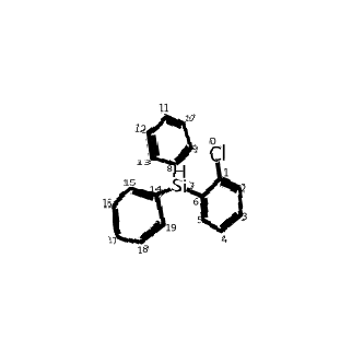 Clc1ccccc1[SiH](c1ccccc1)c1ccccc1